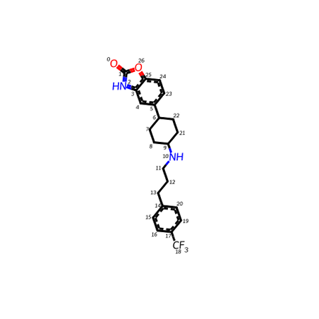 O=c1[nH]c2cc(C3CCC(NCCCc4ccc(C(F)(F)F)cc4)CC3)ccc2o1